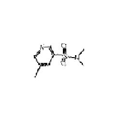 Cc1cncc(S(=O)(=O)N(C)C)c1